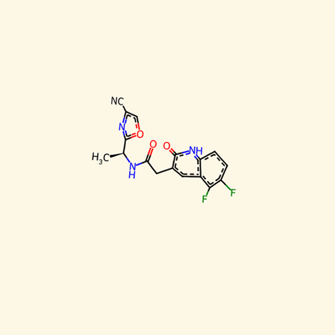 C[C@H](NC(=O)Cc1cc2c(F)c(F)ccc2[nH]c1=O)c1nc(C#N)co1